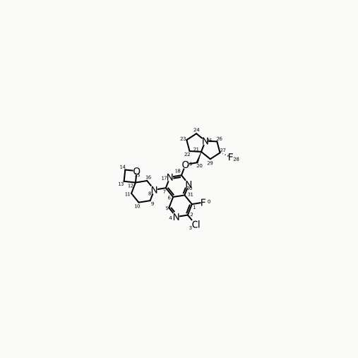 Fc1c(Cl)ncc2c(N3CCCC4(CCO4)C3)nc(OC[C@@]34CCCN3C[C@H](F)C4)nc12